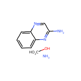 N.Nc1cnc2ccccc2n1.O=C(O)O